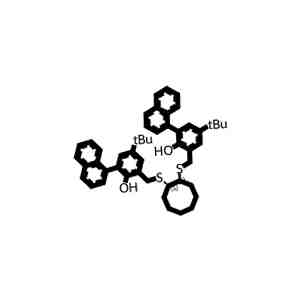 CC(C)(C)c1cc(CS[C@H]2CCCCCC[C@@H]2SCc2cc(C(C)(C)C)cc(-c3cccc4ccccc34)c2O)c(O)c(-c2cccc3ccccc23)c1